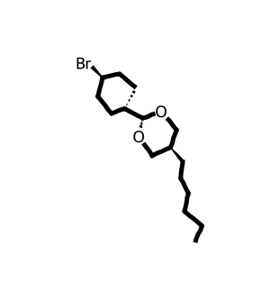 CCCCCC[C@H]1CO[C@H]([C@H]2CC[C@H](Br)CC2)OC1